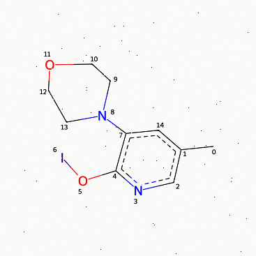 Cc1cnc(OI)c(N2CCOCC2)c1